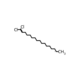 C[CH]CCCCCCCCCCCCCC=C(Cl)Cl